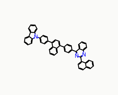 c1ccc2c(-c3nc(-c4ccc(-c5ccc(-c6ccc(-n7c8ccccc8c8ccccc87)cc6)c6ccccc56)cc4)c4ccccc4n3)cccc2c1